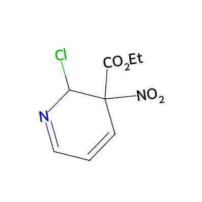 CCOC(=O)C1([N+](=O)[O-])C=CC=NC1Cl